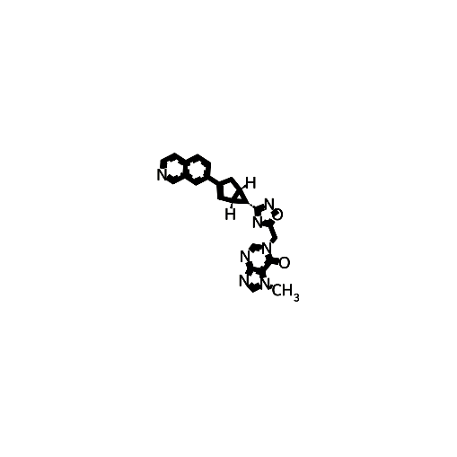 Cn1cnc2ncn(Cc3nc([C@@H]4[C@H]5C=C(c6ccc7ccncc7c6)C[C@H]54)no3)c(=O)c21